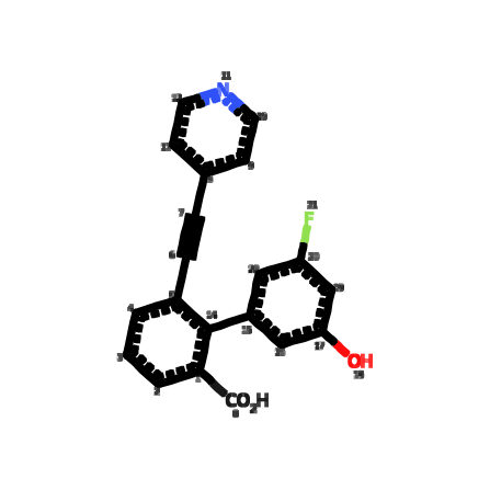 O=C(O)c1cccc(C#Cc2ccncc2)c1-c1cc(O)cc(F)c1